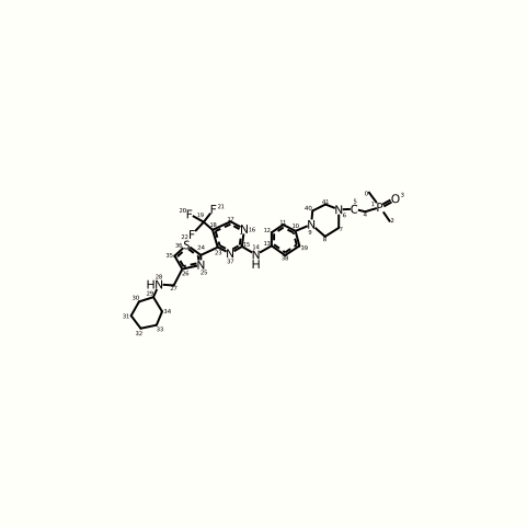 CP(C)(=O)CCN1CCN(c2ccc(Nc3ncc(C(F)(F)F)c(-c4nc(CNC5CCCCC5)cs4)n3)cc2)CC1